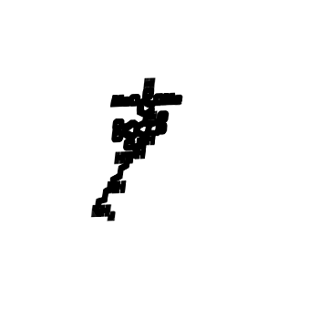 COc1cc(C2c3cc4c(cc3[C@@H](NC(=O)CNCCCCNCCCN)[C@H]3COC(=O)[C@@H]23)OCO4)cc(OC)c1O